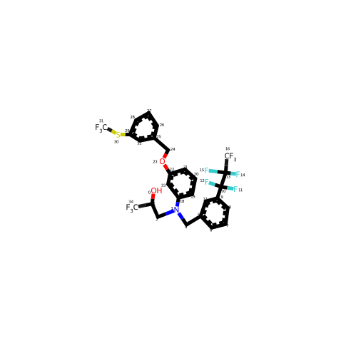 OC(CN(Cc1cccc(C(F)(F)C(F)(F)C(F)(F)F)c1)c1cccc(OCc2cccc(SC(F)(F)F)c2)c1)C(F)(F)F